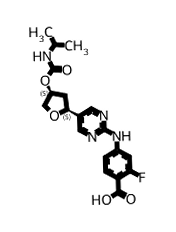 CC(C)NC(=O)O[C@@H]1CO[C@H](c2cnc(Nc3ccc(C(=O)O)c(F)c3)nc2)C1